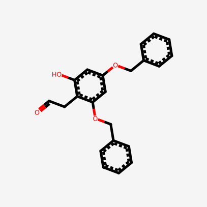 O=CCc1c(O)cc(OCc2ccccc2)cc1OCc1ccccc1